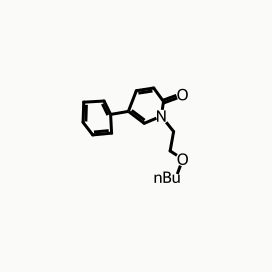 CCCCOCCn1cc(-c2ccccc2)ccc1=O